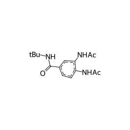 CC(=O)Nc1ccc(C(=O)NC(C)(C)C)cc1NC(C)=O